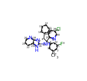 Fc1cc(C(F)(F)F)cc(C(Cc2ccccc2)(Nc2nc3ncccc3[nH]2)c2ccc(Cl)cn2)c1